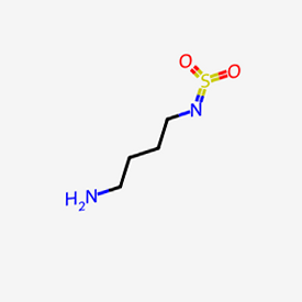 NCCCCN=S(=O)=O